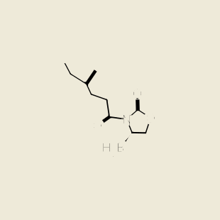 B[C@@H]1COC(=O)N1C(=O)CCC(=C)CC